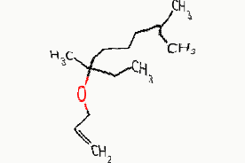 C=CCOC(C)(CC)CCCC(C)C